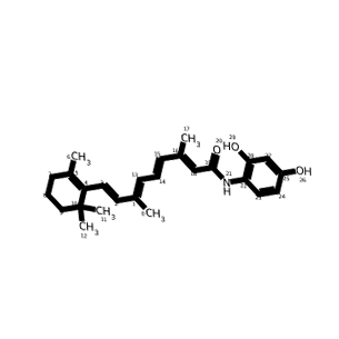 CC(C=CC1=C(C)CCCC1(C)C)=CC=CC(C)=CC(=O)Nc1ccc(O)cc1O